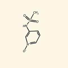 CS(=O)(=O)Nc1ccc[n+]([O-])c1